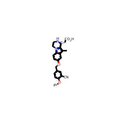 Cc1c2n(c3ccc(OCc4ccc(OC(C)C)c(C#N)c4)cc13)CCN[C@@H]2CC(=O)O